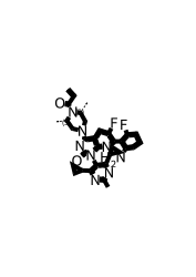 C=CC(=O)N1[C@H](C)CN(c2nc(=O)n(-c3c(C4CC4)nc(C)nc3C3CC3)c3nc(-c4c(N)cccc4F)c(F)cc23)C[C@@H]1C